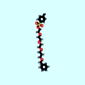 Cc1ccc(S(=O)(=O)OCCOCCOCCOCCCOCc2ccccc2)cc1